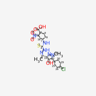 CC(=NNC(=S)Nc1ccc(C(=O)O)c([N+](=O)[O-])c1)c1nn(C)c(-c2ccc(Cl)cc2)c1O